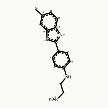 CCCCCCCCCCCCNc1ccc(-c2nc3ccc(C)cc3s2)cc1